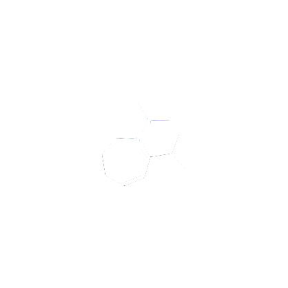 CC(C)C1=[N+](N(C)C)CCCC=C1